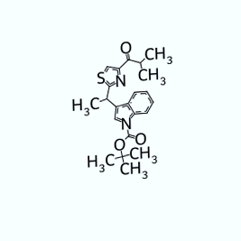 CC(C)C(=O)c1csc(C(C)c2cn(C(=O)OC(C)(C)C)c3ccccc23)n1